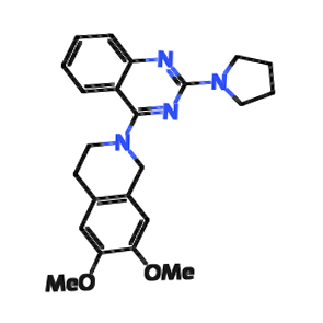 COc1cc2c(cc1OC)CN(c1nc(N3CCCC3)nc3ccccc13)CC2